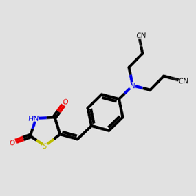 N#CCCN(CCC#N)c1ccc(C=C2SC(=O)NC2=O)cc1